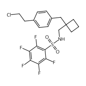 O=S(=O)(NCC1(Cc2ccc(CCCl)cc2)CCC1)c1c(F)c(F)c(F)c(F)c1F